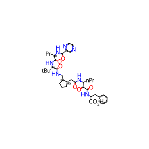 CCCC(NC(=O)C[C@H]1CCC[C@H]1CNC(=O)[C@@H](NC(=O)[C@H](NC(=O)c1cnccn1)C(C)C)C(C)(C)C)C(=O)C(=O)NC(Cc1ccccc1)C(=O)O